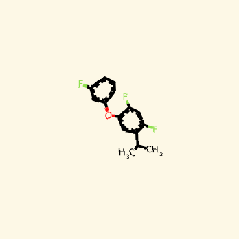 CC(C)c1cc(Oc2cccc(F)c2)c(F)cc1F